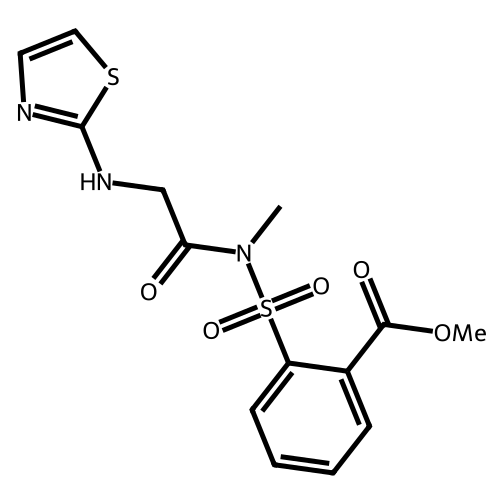 COC(=O)c1ccccc1S(=O)(=O)N(C)C(=O)CNc1nccs1